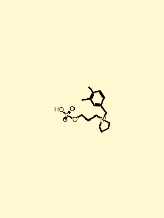 Cc1ccc(C[N+]2(CCCOS(=O)(=O)O)CCCC2)cc1C